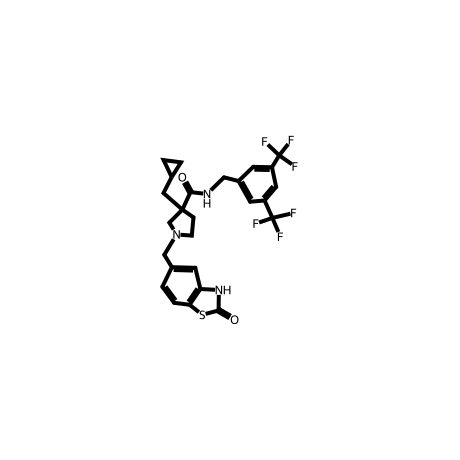 O=C(NCc1cc(C(F)(F)F)cc(C(F)(F)F)c1)C1(CC2CC2)CCN(Cc2ccc3sc(=O)[nH]c3c2)C1